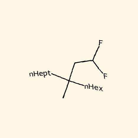 CCCCCCCC(C)(CCCCCC)CC(F)F